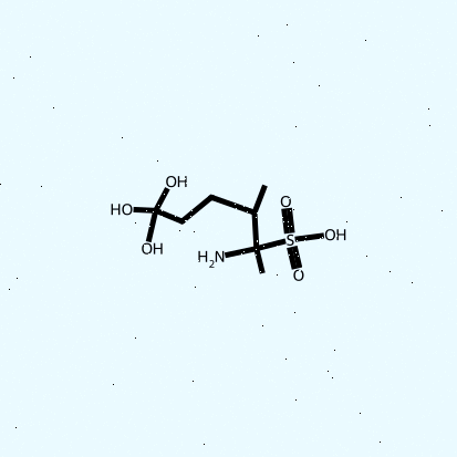 CC(CCC(O)(O)O)C(C)(N)S(=O)(=O)O